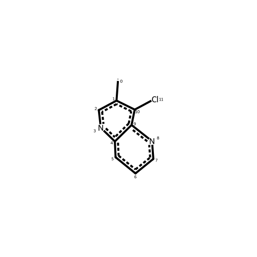 [CH2]c1cnc2cccnc2c1Cl